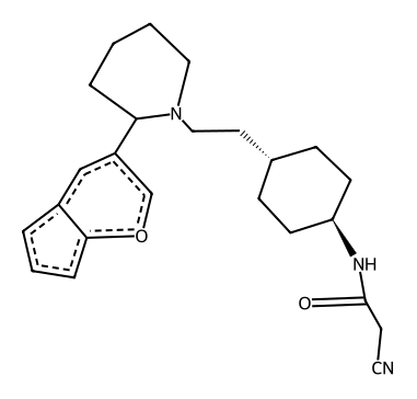 N#CCC(=O)N[C@H]1CC[C@H](CCN2CCCCC2c2coc3cccc-3c2)CC1